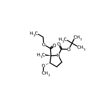 CCOC(=O)[C@@]1(C)[C@@H](OC)CCN1C(=O)OC(C)(C)C